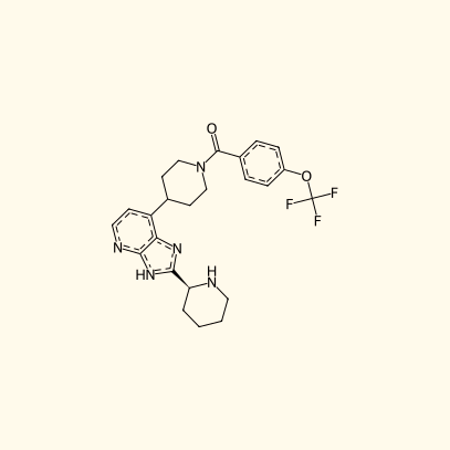 O=C(c1ccc(OC(F)(F)F)cc1)N1CCC(c2ccnc3[nH]c([C@@H]4CCCCN4)nc23)CC1